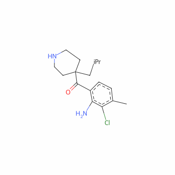 Cc1ccc(C(=O)C2(CC(C)C)CCNCC2)c(N)c1Cl